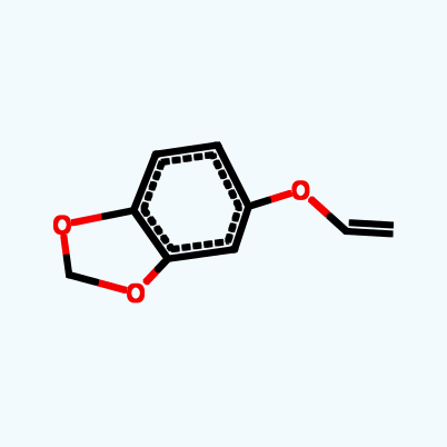 C=COc1ccc2c(c1)OCO2